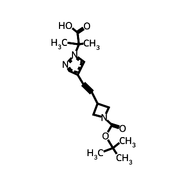 CC(C)(C)OC(=O)N1CC(C#Cc2cnn(C(C)(C)C(=O)O)c2)C1